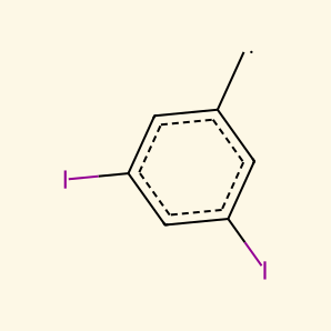 [CH2]c1cc(I)cc(I)c1